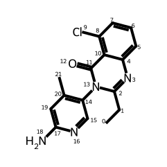 CCc1nc2cccc(Cl)c2c(=O)n1-c1cnc(N)cc1C